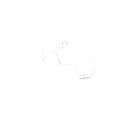 CC(C)(CCl)C(=O)Cn1cccc1